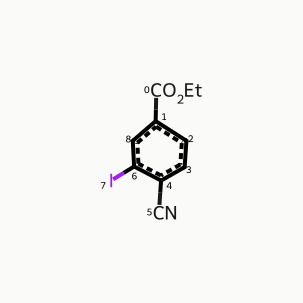 CCOC(=O)c1ccc(C#N)c(I)c1